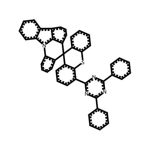 c1ccc(-c2nc(-c3ccccc3)nc(-c3cccc4c3Sc3ccccc3C43c4ccccc4-n4c5ccccc5c5cccc3c54)n2)cc1